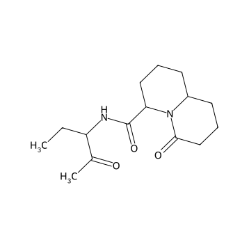 CCC(NC(=O)C1CCCC2CCCC(=O)N21)C(C)=O